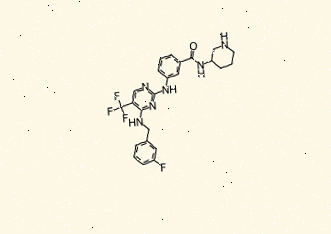 O=C(NC1CCCNC1)c1cccc(Nc2ncc(C(F)(F)F)c(NCc3cccc(F)c3)n2)c1